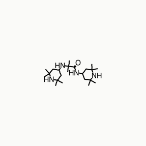 CC1(C)CC(NC(=O)C(C)(C)NC2CC(C)(C)NC(C)(C)C2)CC(C)(C)N1